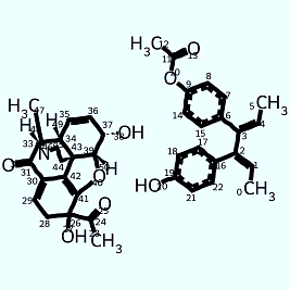 C/C=C(/C(=C/C)c1ccc(OC(C)=O)cc1)c1ccc(O)cc1.CC(=O)C1(O)CC=C2C(=O)[C@@H]3[C@@H]4C=C[C@H](O)[C@@H]5OC1=C2[C@]45CCN3C